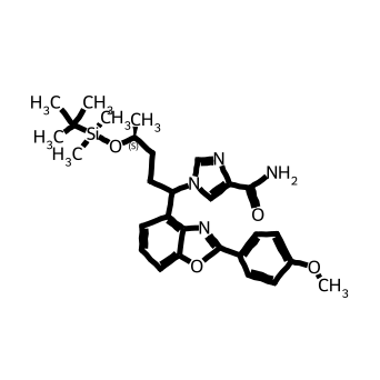 COc1ccc(-c2nc3c(C(CC[C@H](C)O[Si](C)(C)C(C)(C)C)n4cnc(C(N)=O)c4)cccc3o2)cc1